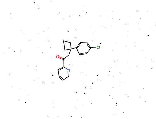 O=C(CC1(c2ccc(Cl)cc2)CCC1)c1ccccn1